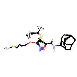 CSCCCOc1noc(C(=O)NC2C3CC4CC(C3)CC2C4)c1SC(C)C